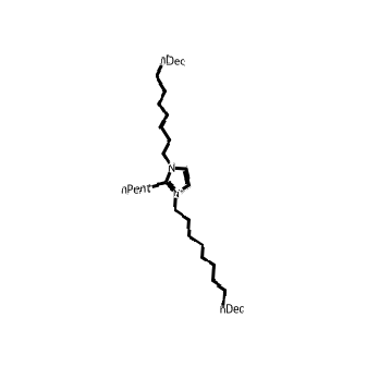 CCCCCCCCCCCCCCCCCC[n+]1ccn(CCCCCCCCCCCCCCCCC)c1CCCCC